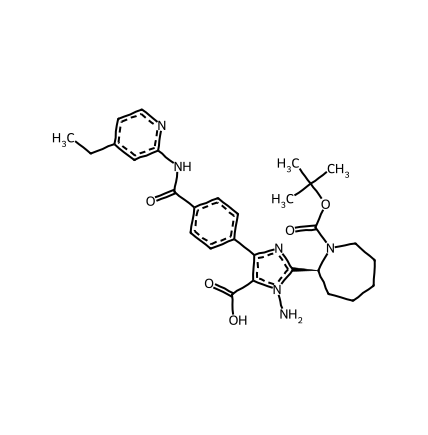 CCc1ccnc(NC(=O)c2ccc(-c3nc([C@@H]4CCCCCN4C(=O)OC(C)(C)C)n(N)c3C(=O)O)cc2)c1